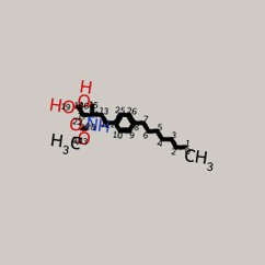 CCCCCCCCc1ccc(CCC(CO)(CCO)NC(=O)OC)cc1